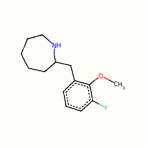 COc1c(F)cccc1CC1CCCCCN1